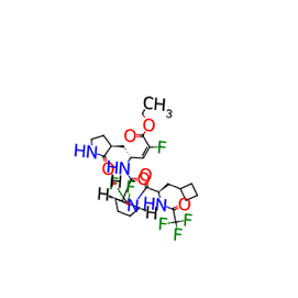 CCOC(=O)/C(F)=C\[C@@H](C[C@@H]1CCNC1=O)NC(=O)[C@@H]1[C@H]2CC[C@H](CC2(F)F)N1C(=O)[C@@H](CC1CCC1)NC(=O)C(F)(F)F